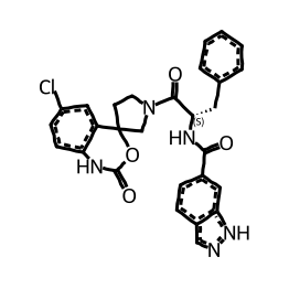 O=C1Nc2ccc(Cl)cc2C2(CCN(C(=O)[C@H](Cc3ccccc3)NC(=O)c3ccc4cn[nH]c4c3)C2)O1